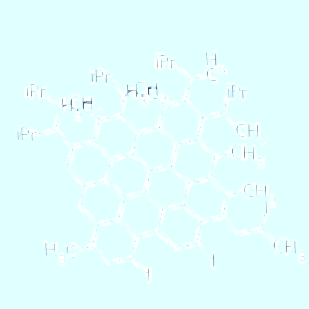 CC(I)CC1C(C)C2C(C)C3C(C(C)C(C)C)C(C(C)C(C)C)C(C)C4C5C(C(C)C(C)C)C(C)C6C(C(C(C)C)C(C)C(C)C)CC7CC8C(C)CC(I)C9C%10CC(I)C1C1C%10C%10C(C7C6C5C%10C(C34)C21)C89